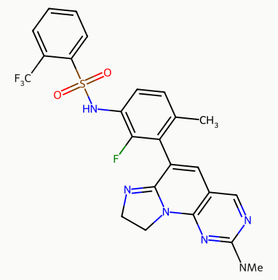 CNc1ncc2c(n1)N1CCN=C1C(c1c(C)ccc(NS(=O)(=O)c3ccccc3C(F)(F)F)c1F)=C2